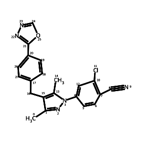 Cc1nn(-c2ccc(C#N)c(Cl)c2)c(C)c1Cc1ccc(-c2nnco2)cc1